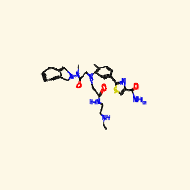 CCNCCNC(=O)CN(CC(=O)N(C)N1Cc2ccccc2C1)c1cc(-c2nc(C(N)=O)cs2)ccc1C